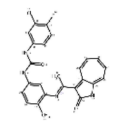 C/C(=N\c1cc(NC(=O)Nc2ccc(F)c(Cl)c2)ccc1C)c1c2cccccc-2[nH]c1=O